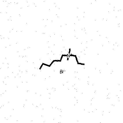 CCCCCC[N+](C)(C)CCC.[Br-]